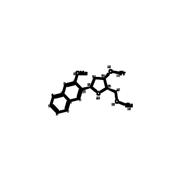 COc1cc2ccccc2cc1[C@H]1C[C@@H](OC(C)C)[C@@H](COC(C)(C)C)O1